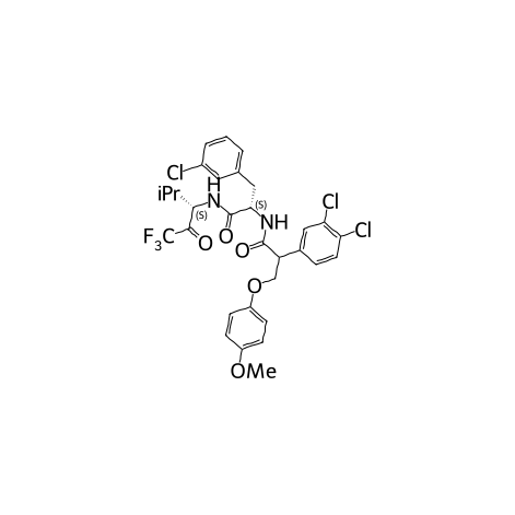 COc1ccc(OCC(C(=O)N[C@@H](Cc2cccc(Cl)c2)C(=O)N[C@H](C(=O)C(F)(F)F)C(C)C)c2ccc(Cl)c(Cl)c2)cc1